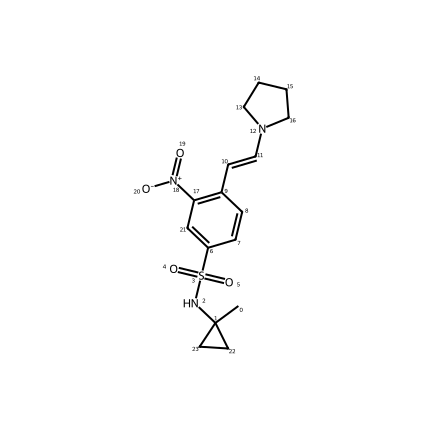 CC1(NS(=O)(=O)c2ccc(/C=C/N3CCCC3)c([N+](=O)[O-])c2)CC1